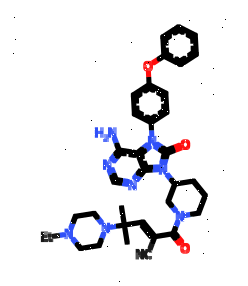 CCN1CCN(C(C)(C)C=C(C#N)C(=O)N2CCCC(n3c(=O)n(-c4ccc(Oc5ccccc5)cc4)c4c(N)ncnc43)C2)CC1